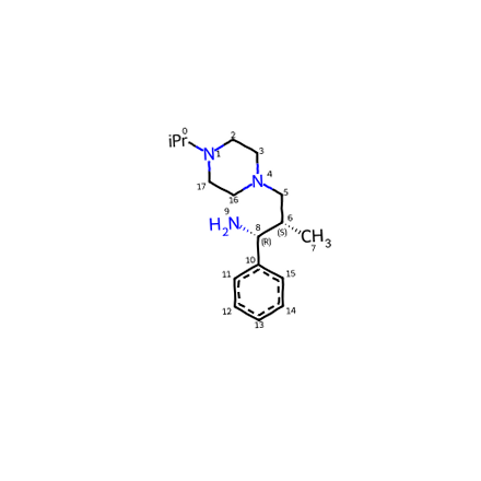 CC(C)N1CCN(C[C@H](C)[C@@H](N)c2ccccc2)CC1